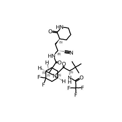 CC(C)(C)[C@H](NC(=O)C(F)(F)F)C(=O)N1[C@H]2CC[C@@H]([C@H]1C(=O)N[C@@H](C#N)C[C@@H]1CCCNC1=O)C(F)(F)C2